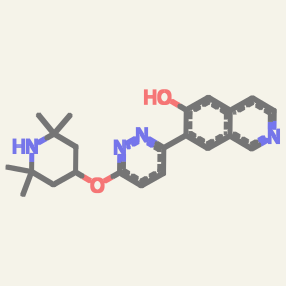 CC1(C)CC(Oc2ccc(-c3cc4cnccc4cc3O)nn2)CC(C)(C)N1